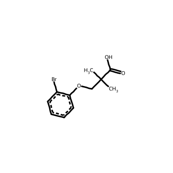 CC(C)(COc1ccccc1Br)C(=O)O